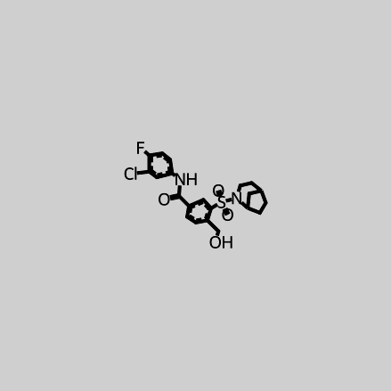 O=C(Nc1ccc(F)c(Cl)c1)c1ccc(CO)c(S(=O)(=O)N2CCC3CCC2C3)c1